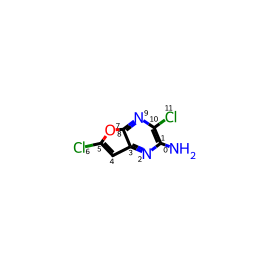 Nc1nc2cc(Cl)oc2nc1Cl